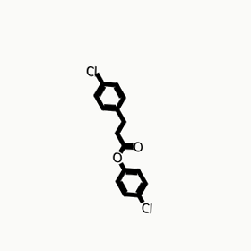 O=C(CCc1ccc(Cl)cc1)Oc1ccc(Cl)cc1